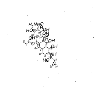 CCC(O)O[C@H]1C2C(C)C3CCC(NC(O)CN(C)C)C(O)C3C(O)C2C(O)[C@]2(O)C(O)C(C(N)O)C(O)CC12